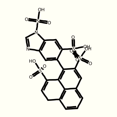 O=S(=O)(O)C1=CCc2cccc3cc(S(=O)(=O)O)c(-c4cc5ncn(S(=O)(=O)O)c5cc4S(=O)(=O)O)c1c23